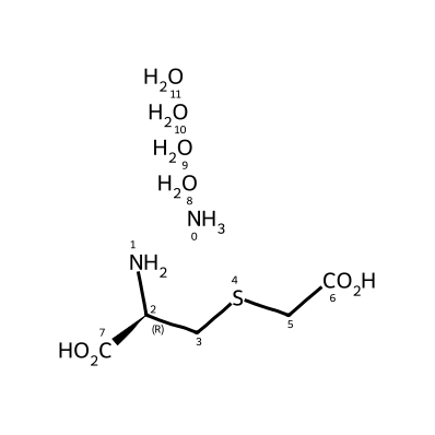 N.N[C@@H](CSCC(=O)O)C(=O)O.O.O.O.O